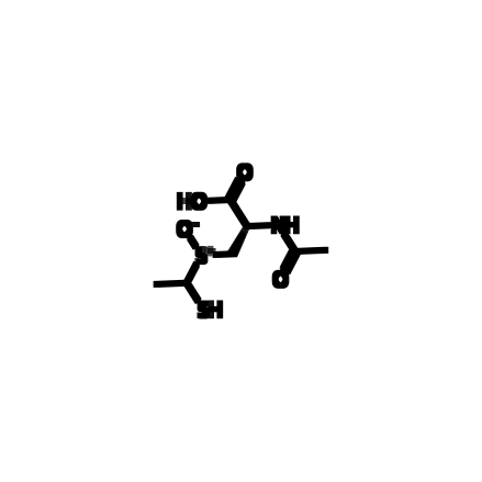 CC(=O)N[C@@H](C[S+]([O-])C(C)S)C(=O)O